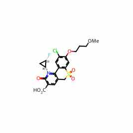 COCCCOc1cc2c(cc1Cl)-c1c(cc(C(=O)O)c(=O)n1[C@@H]1C[C@@H]1F)CS2(=O)=O